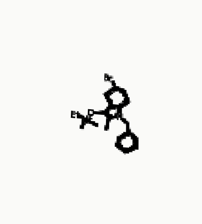 CC[N+](C)(C)Oc1c(C)n(Cc2ccccc2)c2ccc(Br)cc12